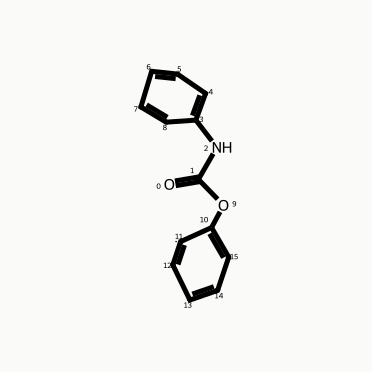 O=C(Nc1ccccc1)Oc1[c]cccc1